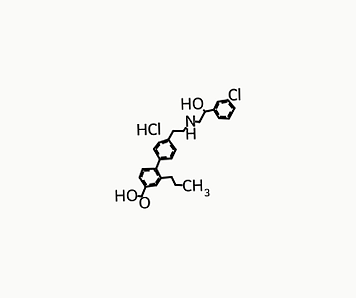 CCCc1cc(C(=O)O)ccc1-c1ccc(CCNC[C@@H](O)c2cccc(Cl)c2)cc1.Cl